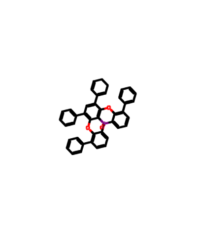 O=P12c3cccc(-c4ccccc4)c3Oc3c(C4=CCCC=C4)cc(-c4ccccc4)c(c31)Oc1c(-c3ccccc3)cccc12